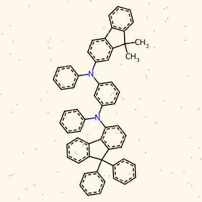 CC1(C)c2ccccc2-c2ccc(N(c3ccccc3)c3cccc(N(c4ccccc4)c4cccc5c4-c4ccccc4C5(c4ccccc4)c4ccccc4)c3)cc21